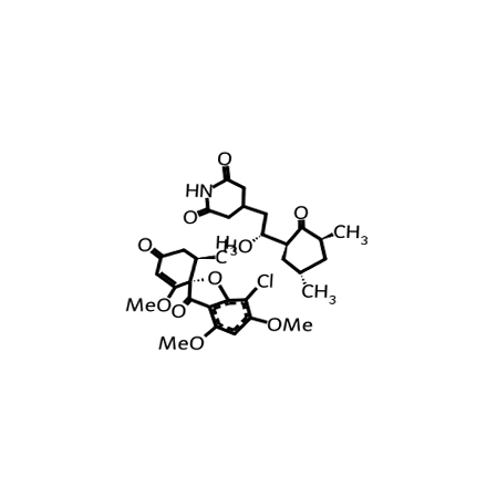 COC1=CC(=O)C[C@@H](C)[C@]12Oc1c(Cl)c(OC)cc(OC)c1C2=O.C[C@@H]1C[C@@H]([C@H](O)CC2CC(=O)NC(=O)C2)C(=O)[C@@H](C)C1